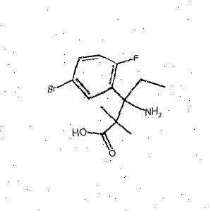 CCC(N)(c1cc(Br)ccc1F)C(C)(C)C(=O)O